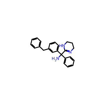 NC(C1=NCCCN1)(c1ccccc1)c1cccc(Cc2ccccc2)c1